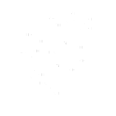 Cc1cc(N(c2ccc3c(c2)C(C)(C)CCC3(C)C)c2cc(C(C)(C)c3ccccc3)ccc2C)c(C)c(N(c2ccc3c(c2)C(C)(C)CCC3(C)C)c2cc3c(cc2C)C(C)(C)CC3(C)C)c1